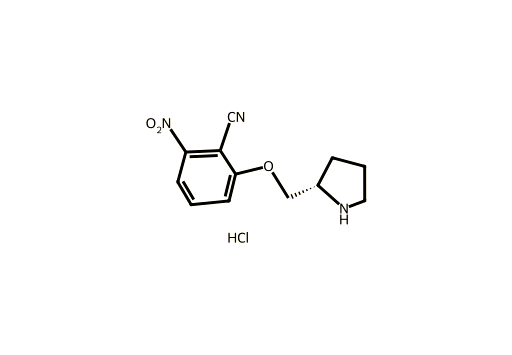 Cl.N#Cc1c(OC[C@@H]2CCCN2)cccc1[N+](=O)[O-]